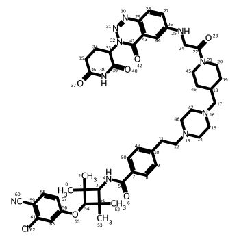 CC1(C)C(NC(=O)c2ccc(CCN3CCN(CC4CCN(C(=O)CNc5ccc6nnn(C7CCC(=O)NC7=O)c(=O)c6c5)CC4)CC3)cc2)C(C)(C)C1Oc1ccc(C#N)c(Cl)c1